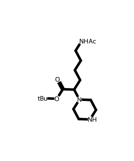 CC(=O)NCCCCC(C(=O)OC(C)(C)C)N1CCNCC1